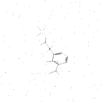 CC[Si](CC)(CC)OC(C(C)(C)C)C(F)(F)c1cccc(C(C)N)c1F